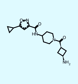 N[C@H]1C[C@@H](C(=O)N2CCC(NC(=O)c3cc(C4CC4)on3)CC2)C1